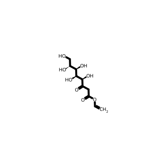 C=COC(=O)CC(=O)[C@H](O)[C@@H](O)[C@H](O)[C@H](O)CO